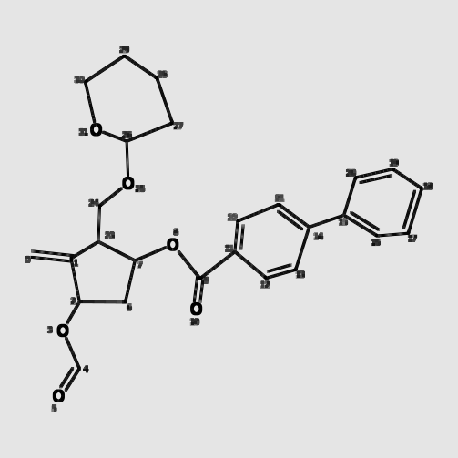 C=C1C(OC=O)CC(OC(=O)c2ccc(-c3ccccc3)cc2)C1COC1CCCCO1